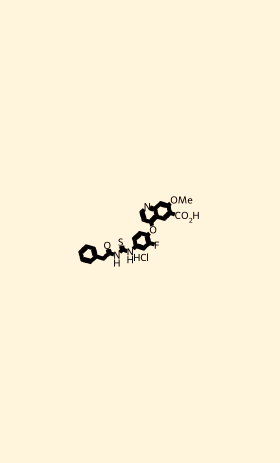 COc1cc2nccc(Oc3ccc(NC(=S)NC(=O)Cc4ccccc4)cc3F)c2cc1C(=O)O.Cl